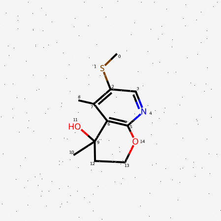 CSc1cnc2c(c1C)C(C)(O)CCO2